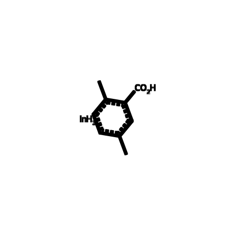 Cc1ccc(C)c(C(=O)O)c1.[InH3]